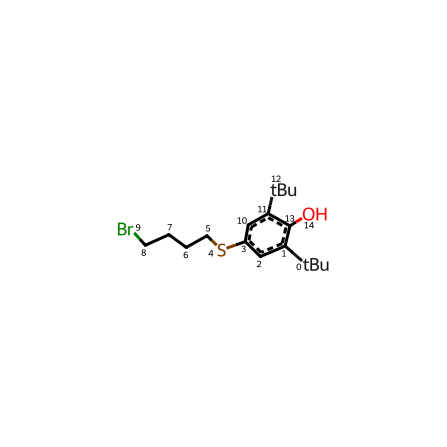 CC(C)(C)c1cc(SCCCCBr)cc(C(C)(C)C)c1O